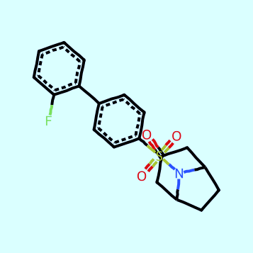 O=C1CC2CCC(C1)N2S(=O)(=O)c1ccc(-c2ccccc2F)cc1